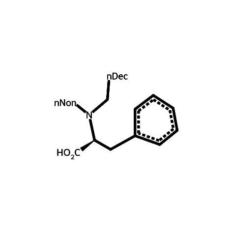 CCCCCCCCCCCN(CCCCCCCCC)[C@@H](Cc1ccccc1)C(=O)O